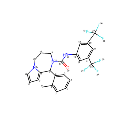 Cc1ccccc1C1c2cccn2CCCN1C(=O)Nc1cc(C(F)(F)F)cc(C(F)(F)F)c1